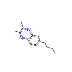 CCCCc1ccc2nc(C)c(C)nc2c1